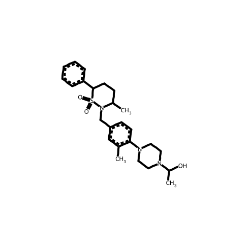 Cc1cc(CN2C(C)CCC(c3ccccc3)S2(=O)=O)ccc1N1CCN(C(C)O)CC1